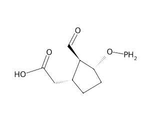 O=C[C@@H]1[C@@H](CC(=O)O)CC[C@H]1OP